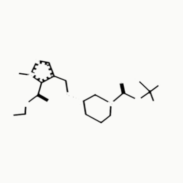 CCOC(=O)c1c(CN[C@H]2CCCN(C(=O)OC(C)(C)C)C2)cnn1C